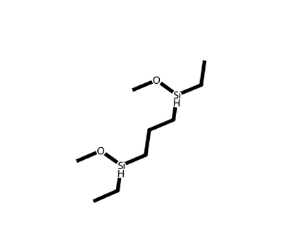 CC[SiH](CCC[SiH](CC)OC)OC